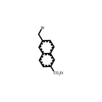 CCOC(=O)c1ccc2cc(CBr)ccc2c1